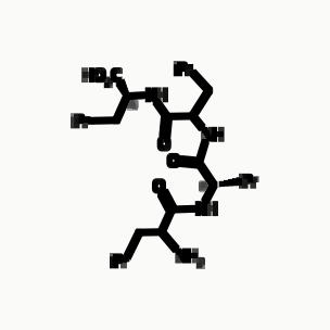 CC(C)CC(N)C(=O)N[C@H](C(=O)NC(CC(C)C)C(=O)N[C@@H](CC(C)C)C(=O)O)C(C)C